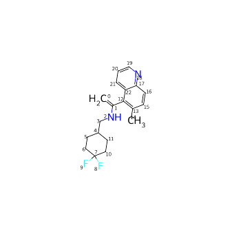 C=C(NCC1CCC(F)(F)CC1)c1c(C)ccc2ncccc12